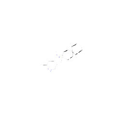 CCCCCN(C)C1(CCCN)C=CC2(C=CCC=C2)C=C1